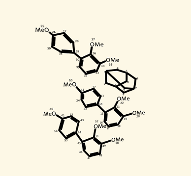 C1C2CC3CC1CC(C2)C3.COc1ccc(-c2cccc(OC)c2OC)cc1.COc1ccc(-c2cccc(OC)c2OC)cc1.COc1ccc(-c2cccc(OC)c2OC)cc1